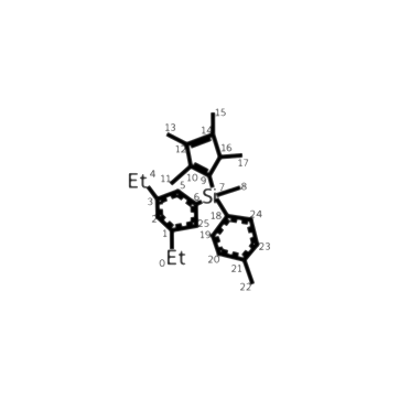 CCc1cc(CC)cc([Si](C)(C2=C(C)C(C)=C(C)C2C)c2ccc(C)cc2)c1